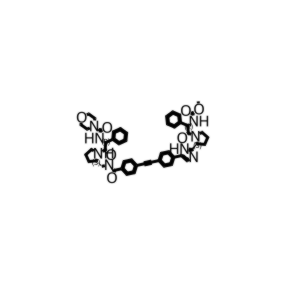 COC(=O)N[C@@H](C(=O)N1CCC[C@H]1c1ncc(-c2ccc(C#Cc3ccc(C(=O)NC[C@@H]4CCCN4C(=O)[C@H](NC(=O)N4CCOCC4)c4ccccc4)cc3)cc2)[nH]1)c1ccccc1